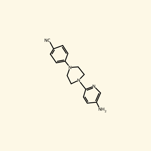 N#Cc1ccc(N2CCN(c3ccc(N)cn3)CC2)cc1